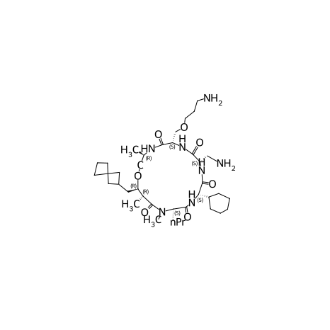 CCC[C@H]1C(=O)N[C@@H](C2CCCCC2)C(=O)N[C@@H](CN)C(=O)N[C@@H](COCCCN)C(=O)N[C@H](C)CO[C@H](CC2CC3(CCC3)C2)[C@@H](C)C(=O)N1C